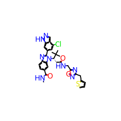 CNC(=O)c1ccc2nc(-c3cc(Cl)c4cn[nH]c4c3)n([C@@H](CC(=O)NCc3nc(Cc4cccs4)no3)C(C)(C)C)c2c1